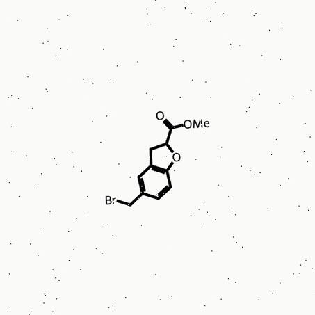 COC(=O)C1Cc2cc(CBr)ccc2O1